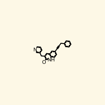 O=c1[nH]c2ccc(C#CCc3ccccc3)cc2cc1Cc1cccnc1